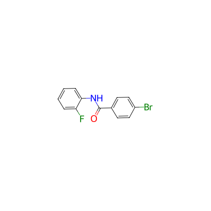 O=C(Nc1ccccc1F)c1ccc(Br)cc1